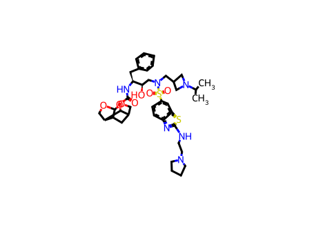 CC(C)N1CC(CN(C[C@@H](O)[C@H](Cc2ccccc2)NC(=O)OC2C3COC4OCC2C4C3)S(=O)(=O)c2ccc3nc(NCCN4CCCC4)sc3c2)C1